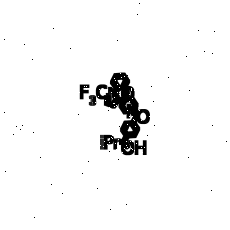 CC(C)C(O)c1ccc(C(=O)N2CCC3(CC2)Oc2ccccc2-n2c(C(F)(F)F)ccc23)cc1